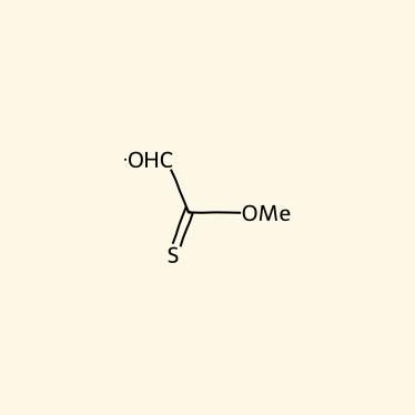 COC(=S)[C]=O